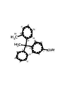 COc1ccc(C(C)(c2ccccc2)c2ccccc2C)cc1